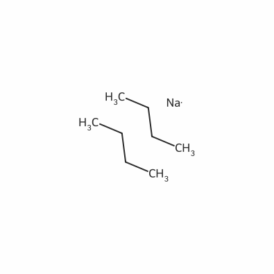 CCCC.CCCC.[Na]